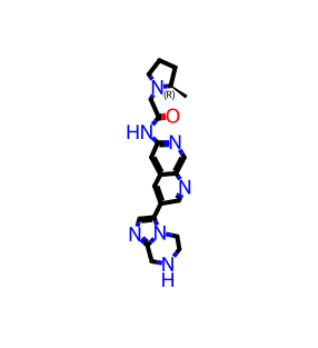 C[C@@H]1CCCN1CC(=O)Nc1cc2cc(-c3cnc4n3CCNC4)cnc2cn1